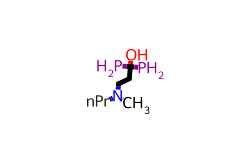 CCCN(C)CCC(O)(P)P